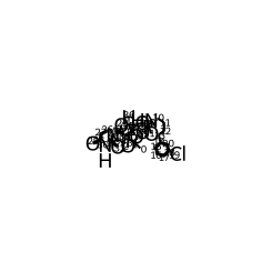 CC(=O)O[C@]12C(OP3(=O)NCCCC(c4cccc(Cl)c4)O3)[C@H]1O[C@@H](n1ccc(=O)[nH]c1=O)[C@]2(C)F